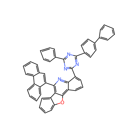 c1ccc(-c2ccc(-c3nc(-c4ccccc4)nc(-c4cccc5c4nc(-c4cc6ccccc6c6ccccc46)c4c6ccccc6oc54)n3)cc2)cc1